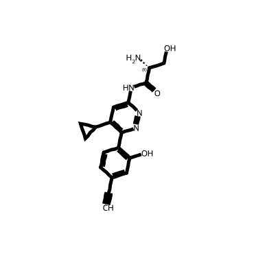 C#Cc1ccc(-c2nnc(NC(=O)[C@H](N)CO)cc2C2CC2)c(O)c1